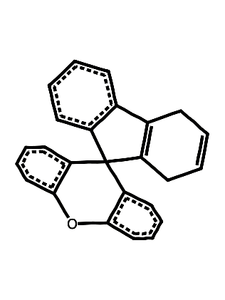 C1=CCC2=C(C1)c1ccccc1C21c2ccccc2Oc2ccccc21